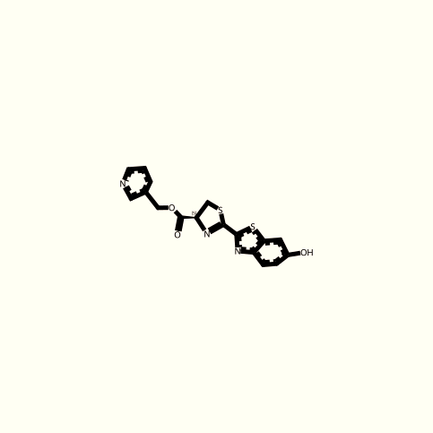 O=C(OCc1cccnc1)[C@H]1CSC(c2nc3ccc(O)cc3s2)=N1